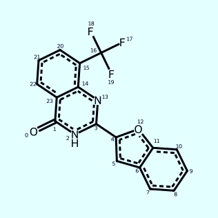 O=c1[nH]c(-c2cc3ccccc3o2)nc2c(C(F)(F)F)cccc12